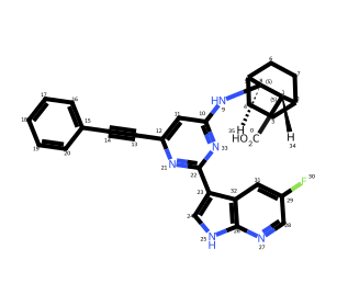 O=C(O)[C@H]1C2CCC(CC2)[C@@H]1Nc1cc(C#Cc2ccccc2)nc(-c2c[nH]c3ncc(F)cc23)n1